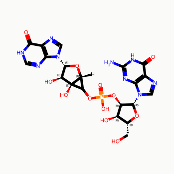 Nc1nc2c(ncn2[C@@H]2O[C@H](CO)[C@@H](O)[C@H]2OP(=O)(O)OC2[C@H]3O[C@@H](n4cnc5c(=O)[nH]cnc54)[C@H](O)[C@@]23O)c(=O)[nH]1